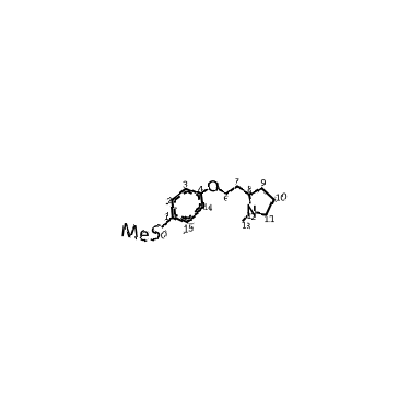 CSc1ccc(OCCC2CCCN2C)cc1